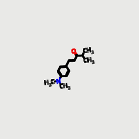 CC(C)C(=O)C=Cc1ccc(N(C)C)cc1